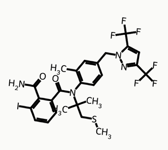 CSCC(C)(C)N(C(=O)c1cccc(I)c1C(N)=O)c1ccc(Cn2nc(C(F)(F)F)cc2C(F)(F)F)cc1C